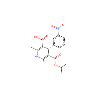 CC1=C(C(=O)O)[C@H](c2cccc([N+](=O)[O-])c2)C(C(=O)OC(C)C)=C(C)N1